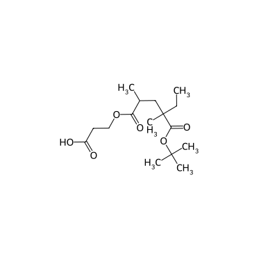 CCC(C)(CC(C)C(=O)OCCC(=O)O)C(=O)OC(C)(C)C